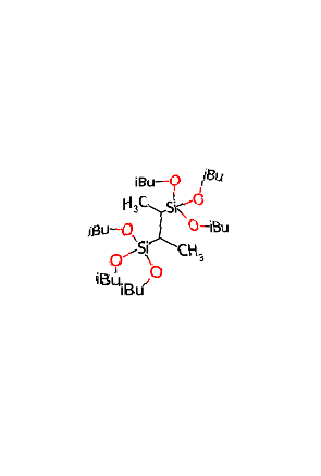 CCC(C)O[Si](OC(C)CC)(OC(C)CC)C(C)C(C)[Si](OC(C)CC)(OC(C)CC)OC(C)CC